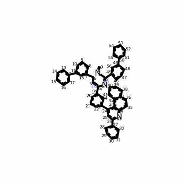 C=N/C(=N\C(=C/Cc1cccc(-c2ccccc2)c1)c1cccc(-c2cc(-c3ccccc3)nc3ccc4ccccc4c23)c1)c1cccc(-c2ccccc2)c1